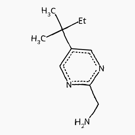 CCC(C)(C)c1cnc(CN)nc1